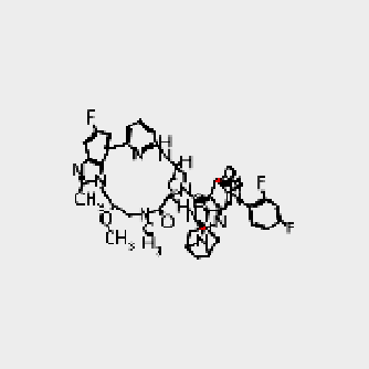 CO[C@H]1CN(C)C(=O)[C@@H]2C[C@@H](CN2c2nc(N3C4CC3CN(C(=O)CC3COC3)C4)nc3c2cnn3-c2ccc(F)cc2F)Nc2cccc(n2)-c2cc(F)cc3nc(C)n(c23)C1